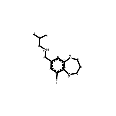 CC(C)CNCc1cc(F)c2c(c1)OCCCO2